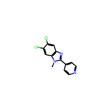 Cn1c(-c2ccncc2)nc2cc(Cl)c(Cl)cc21